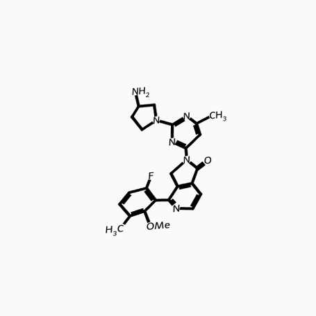 COc1c(C)ccc(F)c1-c1nccc2c1CN(c1cc(C)nc(N3CCC(N)C3)n1)C2=O